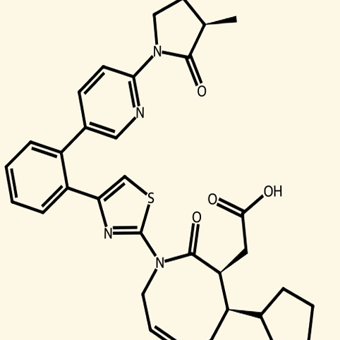 C[C@@H]1CCN(c2ccc(-c3ccccc3-c3csc(N4C/C=C\C[C@H](C5CCCC5)[C@H](CC(=O)O)C4=O)n3)cn2)C1=O